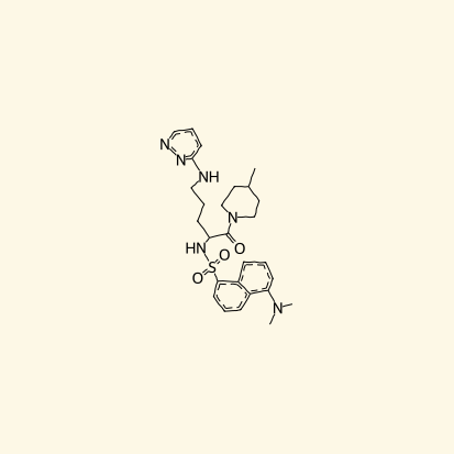 CC1CCN(C(=O)C(CCCNc2cccnn2)NS(=O)(=O)c2cccc3c(N(C)C)cccc23)CC1